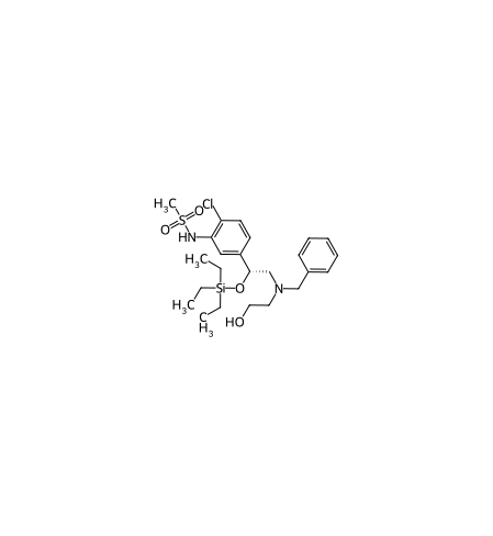 CC[Si](CC)(CC)O[C@@H](CN(CCO)Cc1ccccc1)c1ccc(Cl)c(NS(C)(=O)=O)c1